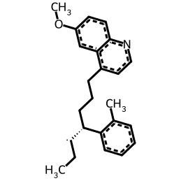 CC[CH][C@H](CCCc1ccnc2ccc(OC)cc12)c1ccccc1C